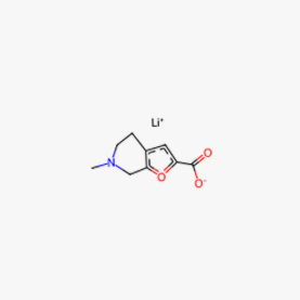 CN1CCc2cc(C(=O)[O-])oc2C1.[Li+]